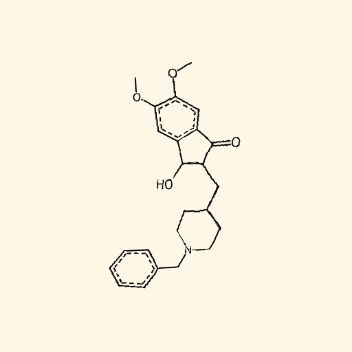 COc1cc2c(cc1OC)C(O)C(CC1CCN(Cc3ccccc3)CC1)C2=O